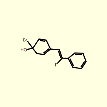 OC1(Br)C=CC(/C=C(\F)c2ccccc2)=CC1